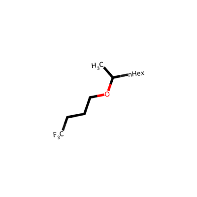 CCCCCCC(C)OCCCC(F)(F)F